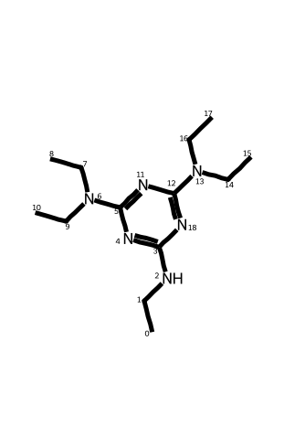 CCNc1nc(N(CC)CC)nc(N(CC)CC)n1